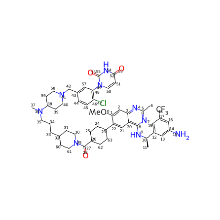 COc1cc2nc(C)nc(N[C@H](C)c3cc(N)cc(C(F)(F)F)c3)c2cc1C1CCC(C(=O)N2CCC(CCCN(C)C3CCN(Cc4ccc(Cl)c(-n5ccc(=O)[nH]c5=O)c4)CC3)CC2)CC1